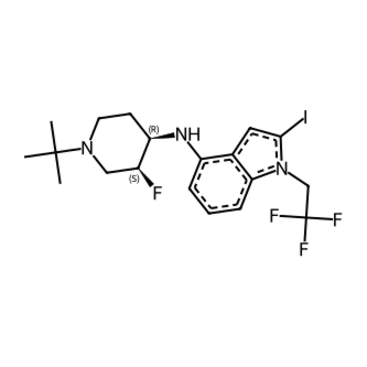 CC(C)(C)N1CC[C@@H](Nc2cccc3c2cc(I)n3CC(F)(F)F)[C@@H](F)C1